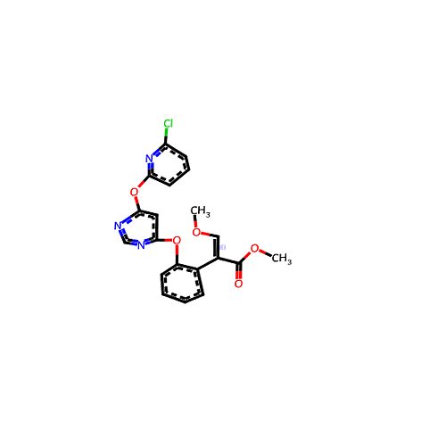 CO/C=C(/C(=O)OC)c1ccccc1Oc1cc(Oc2cccc(Cl)n2)ncn1